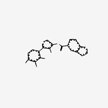 Cc1ccc(-c2scc(NC(=O)c3ccc4occc4c3)c2C(=O)O)c(F)c1F